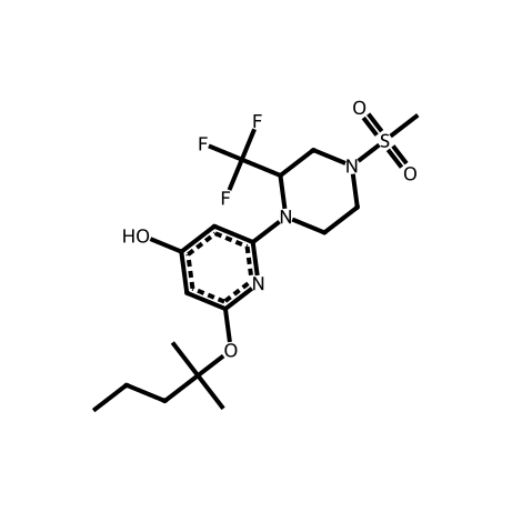 CCCC(C)(C)Oc1cc(O)cc(N2CCN(S(C)(=O)=O)CC2C(F)(F)F)n1